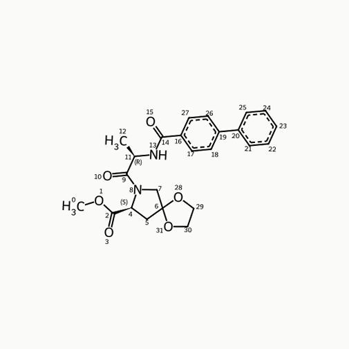 COC(=O)[C@@H]1CC2(CN1C(=O)[C@@H](C)NC(=O)c1ccc(-c3ccccc3)cc1)OCCO2